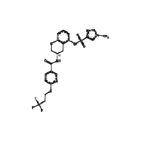 Cn1cnc(S(=O)(=O)Oc2cccc3c2C[C@H](NC(=O)c2ccc(OCCC(F)(F)F)nc2)CO3)c1